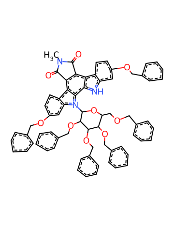 CN1C(=O)c2c(c3c4ccc(OCc5ccccc5)cc4n(C4OC(COCc5ccccc5)C(OCc5ccccc5)C(OCc5ccccc5)C4OCc4ccccc4)c3c3[nH]c4cc(OCc5ccccc5)ccc4c23)C1=O